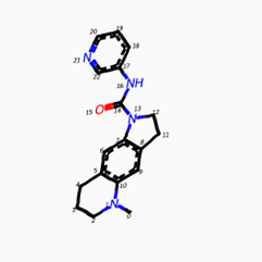 CN1CCCc2cc3c(cc21)CCN3C(=O)Nc1cccnc1